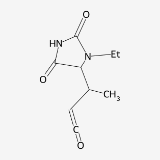 CCN1C(=O)NC(=O)C1C(C)C=C=O